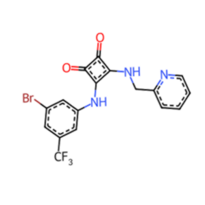 O=c1c(NCc2ccccn2)c(Nc2cc(Br)cc(C(F)(F)F)c2)c1=O